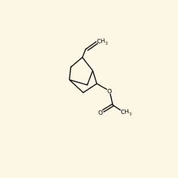 C=CC1CC2CC(OC(C)=O)C1C2